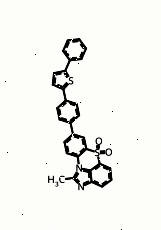 Cc1nc2cccc3c2n1-c1ccc(-c2ccc(-c4ccc(-c5ccccc5)s4)cc2)cc1S3(=O)=O